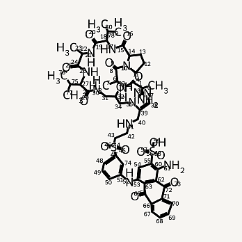 CC(N)C(=O)NC(C)C(=O)N1CCCC1C(=O)NC(C(=O)NC(C)C(=O)NC(C(=O)NCC(O)Cn1nncc1CNCCS(=O)(=O)c1cccc(Nc2cc(S(=O)(=O)O)c(N)c3c2C(=O)c2ccccc2C3=O)c1)C(C)C)C(C)C